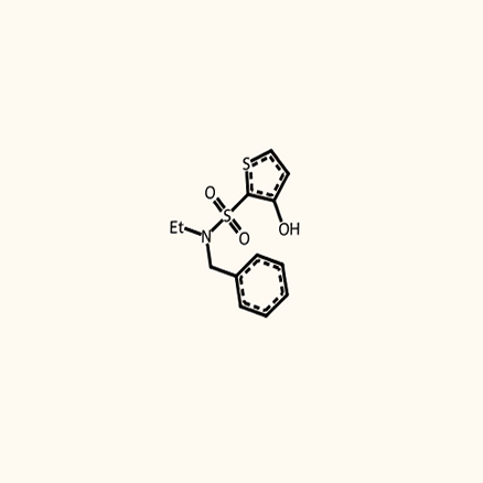 CCN(Cc1ccccc1)S(=O)(=O)c1sccc1O